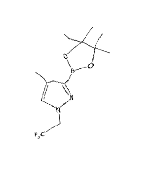 Cc1cn(CC(F)(F)F)nc1B1OC(C)(C)C(C)(C)O1